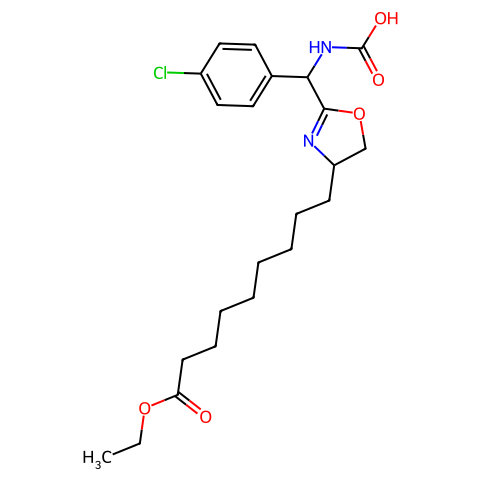 CCOC(=O)CCCCCCCCC1COC(C(NC(=O)O)c2ccc(Cl)cc2)=N1